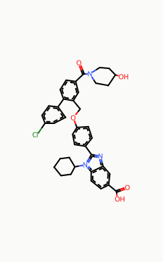 O=C(O)c1ccc2c(c1)nc(-c1ccc(OCc3cc(C(=O)N4CCC(O)CC4)ccc3-c3ccc(Cl)cc3)cc1)n2C1CCCCC1